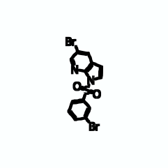 O=S(=O)(c1cccc(Br)c1)n1ccc2cc(Br)cnc21